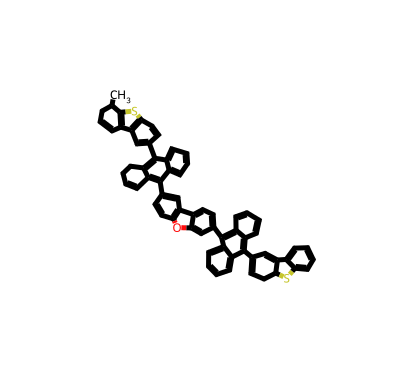 CC1CC=Cc2c1sc1ccc(-c3c4c(c(-c5ccc6oc7cc(-c8c9ccccc9c(C9=CCC%10Sc%11ccccc%11C%10=C9)c9ccccc89)ccc7c6c5)c5ccccc35)C=CCC4)cc21